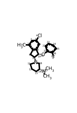 Cc1cc(Cl)cc2c1C[C@H](N1CCC[C@@H](N(C)C)C1)[C@H]2Oc1ccccc1F